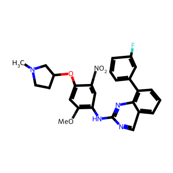 COc1cc(OC2CCN(C)C2)c([N+](=O)[O-])cc1Nc1ncc2cccc(-c3cccc(F)c3)c2n1